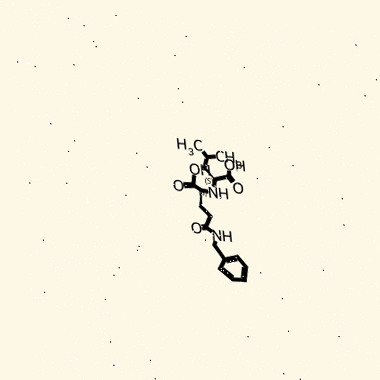 CC(C)C[C@H](N[C@@H](CCC(=O)NCc1ccccc1)C(=O)O)C(=O)O